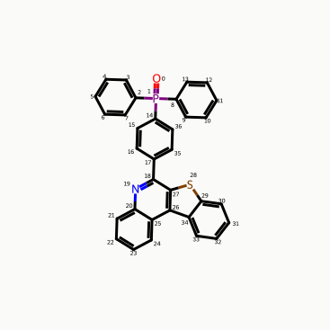 O=P(c1ccccc1)(c1ccccc1)c1ccc(-c2nc3ccccc3c3c2sc2ccccc23)cc1